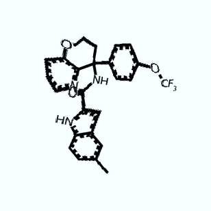 Cc1ccc2[nH]c(C(=O)NC3(c4ccc(OC(F)(F)F)cc4)CCOc4cccnc43)cc2c1